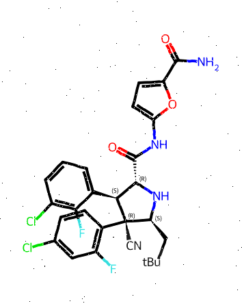 CC(C)(C)C[C@@H]1N[C@@H](C(=O)Nc2ccc(C(N)=O)o2)[C@H](c2cccc(Cl)c2F)[C@@]1(C#N)c1ccc(Cl)cc1F